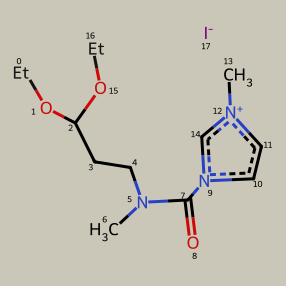 CCOC(CCN(C)C(=O)n1cc[n+](C)c1)OCC.[I-]